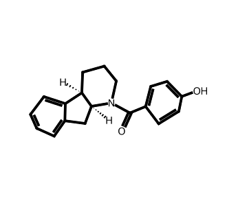 O=C(c1ccc(O)cc1)N1CCC[C@@H]2c3ccccc3C[C@@H]21